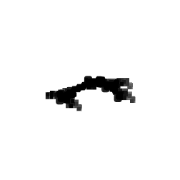 CCCN(CCC)C(=O)C1=Cc2sc(CCCCCNC(=O)OCc3ccc(NC(=O)[C@H](CCCNC(N)=O)NC(=O)CN)cc3)cc2N=C(N)C1